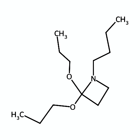 CCCCN1CCC1(OCCC)OCCC